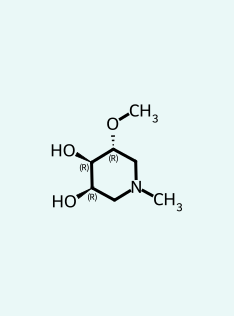 CO[C@@H]1CN(C)C[C@@H](O)[C@H]1O